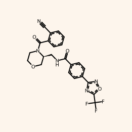 N#Cc1ccccc1C(=O)N1CCOC[C@@H]1CNC(=O)c1ccc(-c2noc(C(F)(F)F)n2)cc1